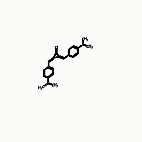 CN(C)c1ccc(C=c2c(=O)c2=Cc2ccc(N(C)C)cc2)cc1